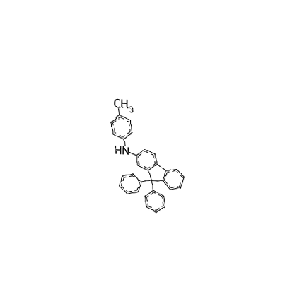 Cc1ccc(Nc2ccc3c(c2)C(c2ccccc2)(c2ccccc2)c2ccccc2-3)cc1